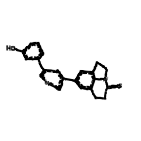 Oc1cccc(-c2cncc(-c3cc4c5c(c3)CCN5C(=S)CC4)c2)c1